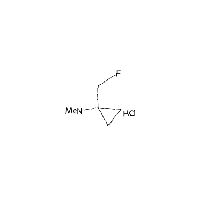 CNC1(CF)CC1.Cl